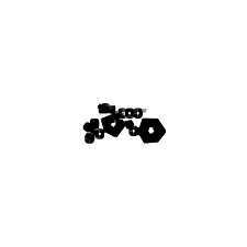 CC(C)(C)[N+]1(C(=O)[O-])C[C@@H](OS(C)(=O)=O)C[C@@H]1COc1ccccc1